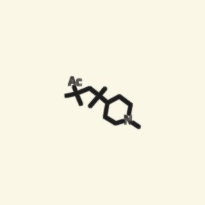 CC(=O)C(C)(C)CC(C)(C)C1CCN(C)CC1